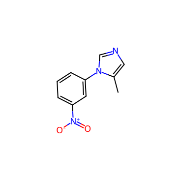 Cc1cncn1-c1cccc([N+](=O)[O-])c1